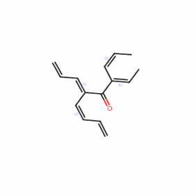 C=C/C=C\C(=C/C=C)C(=O)C(/C=C\C)=C/C